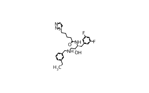 CCc1cccc(CNC[C@@H](O)[C@H](Cc2cc(F)cc(F)c2)NC(=O)CCCCn2ccnn2)c1